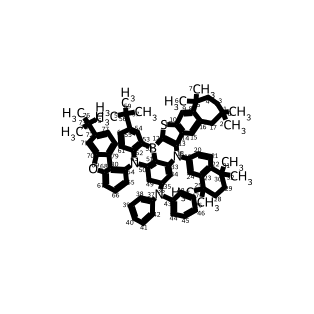 CC1(C)CCC(C)(C)c2cc3sc4c(c3cc2C1)N(c1ccc2c(c1)C(C)(C)CCC2(C)C)C1=CC(N(c2ccccc2)c2ccccc2)CC2=C1B4c1cc(C(C)(C)C)ccc1N2c1cccc2oc3cc(C(C)(C)C)ccc3c12